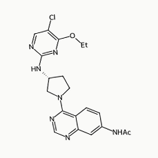 CCOc1nc(N[C@@H]2CCN(c3ncnc4cc(NC(C)=O)ccc34)C2)ncc1Cl